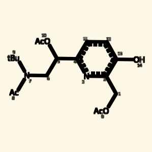 CC(=O)OCc1nc(C(CN(C(C)=O)C(C)(C)C)OC(C)=O)ccc1O